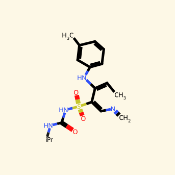 C=N/C=C(\C(=C/C)Nc1cccc(C)c1)S(=O)(=O)NC(=O)NC(C)C